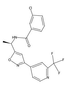 C[C@@H](NC(=O)c1cccc(Cl)c1)c1cc(-c2ccnc(C(F)(F)F)c2)no1